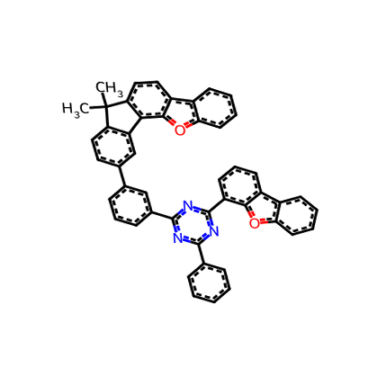 CC1(C)c2ccc(-c3cccc(-c4nc(-c5ccccc5)nc(-c5cccc6c5oc5ccccc56)n4)c3)cc2-c2c1ccc1c2oc2ccccc21